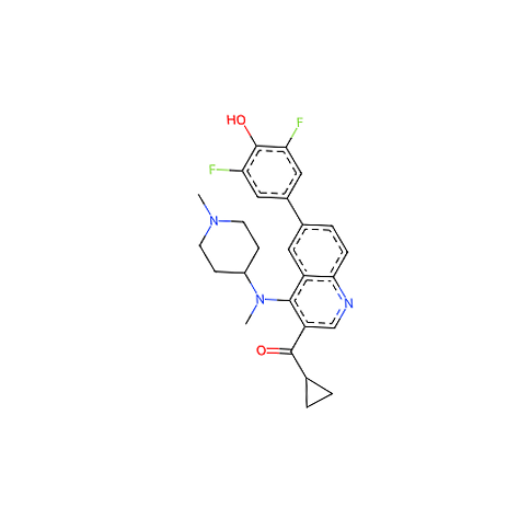 CN1CCC(N(C)c2c(C(=O)C3CC3)cnc3ccc(-c4cc(F)c(O)c(F)c4)cc23)CC1